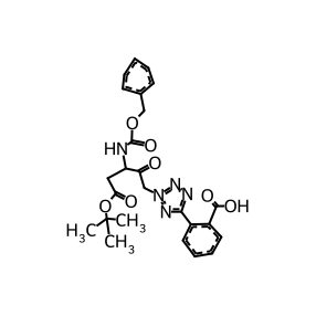 CC(C)(C)OC(=O)CC(NC(=O)OCc1ccccc1)C(=O)Cn1nnc(-c2ccccc2C(=O)O)n1